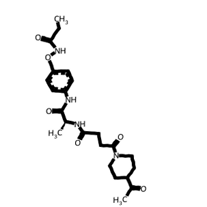 CCC(=O)NOc1ccc(NC(=O)[C@H](C)NC(=O)CCC(=O)N2CCC(C(C)=O)CC2)cc1